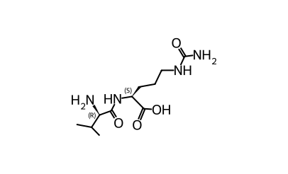 CC(C)[C@@H](N)C(=O)N[C@@H](CCCNC(N)=O)C(=O)O